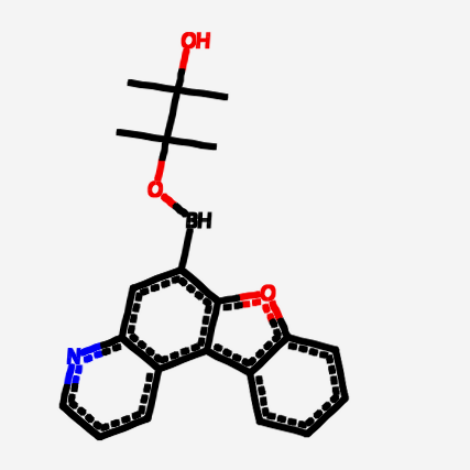 CC(C)(O)C(C)(C)OBc1cc2ncccc2c2c1oc1ccccc12